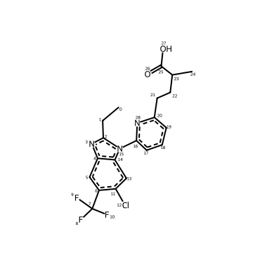 CCc1nc2cc(C(F)(F)F)c(Cl)cc2n1-c1cccc(CCC(C)C(=O)O)n1